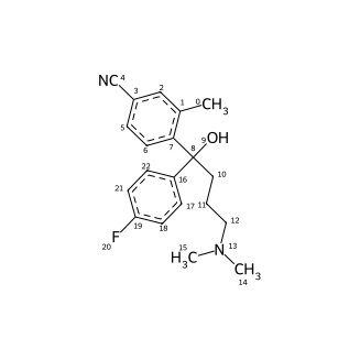 Cc1cc(C#N)ccc1C(O)(CCCN(C)C)c1ccc(F)cc1